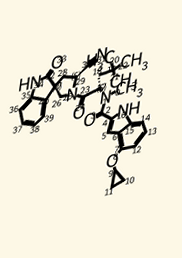 CN(C(=O)c1cc2c(OC3CC3)cccc2[nH]1)[C@@H](CC(C)(C)C)C(=O)N1C[C@]2(C[C@H]1C#N)C(=O)Nc1ccccc12